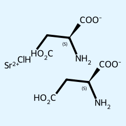 Cl.N[C@@H](CC(=O)O)C(=O)[O-].N[C@@H](CC(=O)O)C(=O)[O-].[Sr+2]